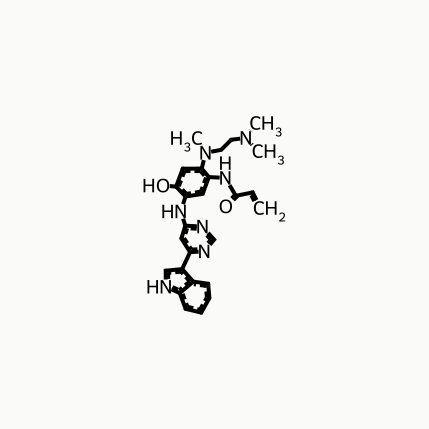 C=CC(=O)Nc1cc(Nc2cc(-c3c[nH]c4ccccc34)ncn2)c(O)cc1N(C)CCN(C)C